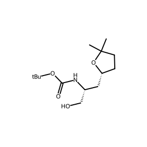 CC(C)(C)OC(=O)N[C@@H](CO)C[C@H]1CCC(C)(C)O1